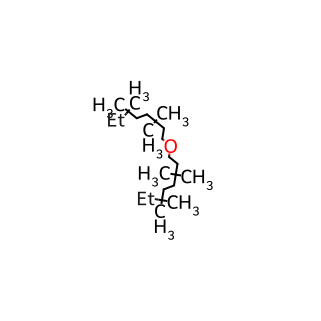 CCC(C)(C)CCC(C)(C)CCOCCC(C)(C)CCC(C)(C)CC